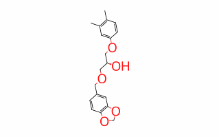 Cc1ccc(OC[C@@H](O)COCc2ccc3c(c2)OCO3)cc1C